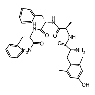 Cc1cc(O)cc(C)c1C[C@H](N)C(=O)N[C@H](C)C(=O)N[C@@H](Cc1ccccc1)C(=O)N[C@@H](Cc1ccccc1)C(N)=O